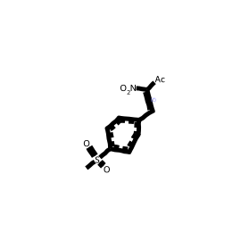 CC(=O)/C(=C/c1ccc(S(C)(=O)=O)cc1)[N+](=O)[O-]